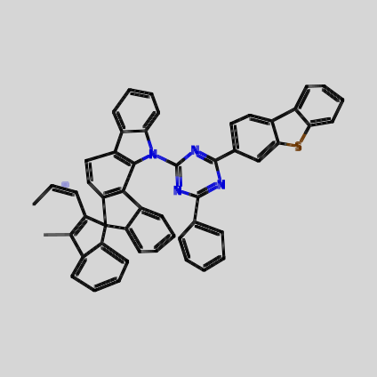 C/C=C\C1=C(C)c2ccccc2C12c1ccccc1-c1c2ccc2c3ccccc3n(-c3nc(-c4ccccc4)nc(-c4ccc5c(c4)sc4ccccc45)n3)c12